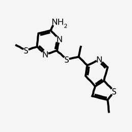 CSc1cc(N)nc(SC(C)c2cc3cc(C)sc3cn2)n1